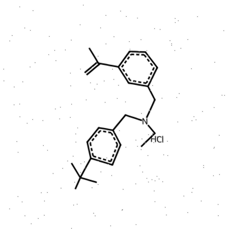 C=C(C)c1cccc(CN(CC)Cc2ccc(C(C)(C)C)cc2)c1.Cl